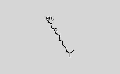 CC(C)CCCCCCCOCCCN